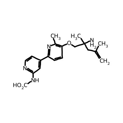 C=C(C)CC(C)(N)COc1ccc(-c2ccnc(NC(=O)O)c2)nc1C